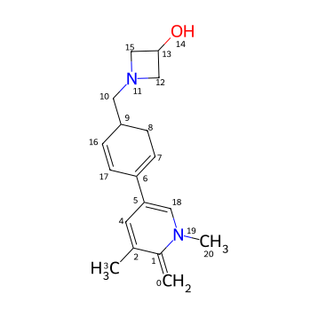 C=C1C(C)=CC(C2=CCC(CN3CC(O)C3)C=C2)=CN1C